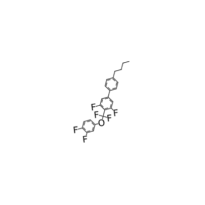 CCCCc1ccc(-c2cc(F)c(C(F)(F)Oc3ccc(F)c(F)c3)c(F)c2)cc1